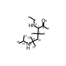 CCNC(C(C)=O)C(C)(C)CC(C)(C)NC(C)C